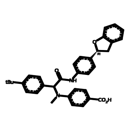 CN(c1ccc(C(=O)O)cc1)C(C(=O)Nc1ccc([C@H]2Cc3ccccc3O2)cc1)c1ccc(C(C)(C)C)cc1